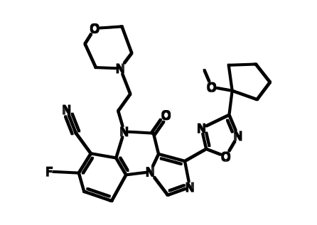 COC1(c2noc(-c3ncn4c3c(=O)n(CCN3CCOCC3)c3c(C#N)c(F)ccc34)n2)CCCC1